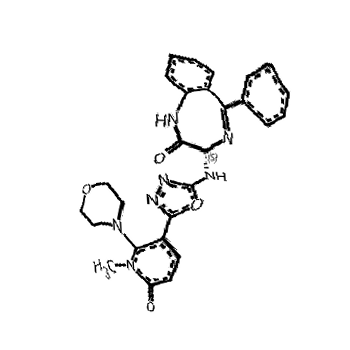 Cn1c(N2CCOCC2)c(-c2nnc(N[C@H]3N=C(c4ccccc4)c4ccccc4NC3=O)o2)ccc1=O